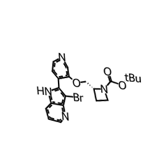 CC(C)(C)OC(=O)N1CC[C@@H]1COc1cnccc1-c1[nH]c2cccnc2c1Br